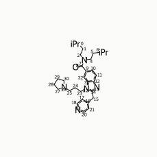 CC(C)CCN(CCC(C)C)C(=O)c1ccc2nc(Cc3ccncc3)n(CCCN3CCCC3)c2c1